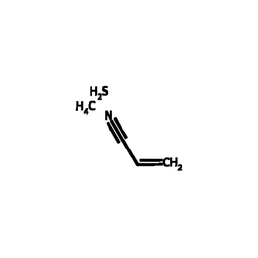 C.C=CC#N.S